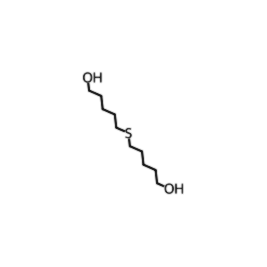 OCCCCCSCCCCCO